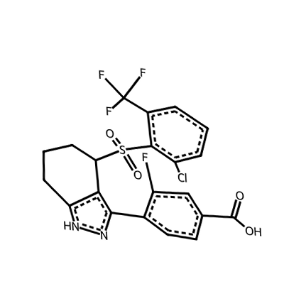 O=C(O)c1ccc(-c2n[nH]c3c2C(S(=O)(=O)c2c(Cl)cccc2C(F)(F)F)CCC3)c(F)c1